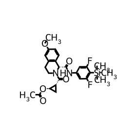 COc1ccc2c(c1)CCN(C(=O)[C@@H]1C[C@@H]1OC(C)=O)[C@H]2C(=O)Nc1cc(F)c([Si](C)(C)C)c(F)c1